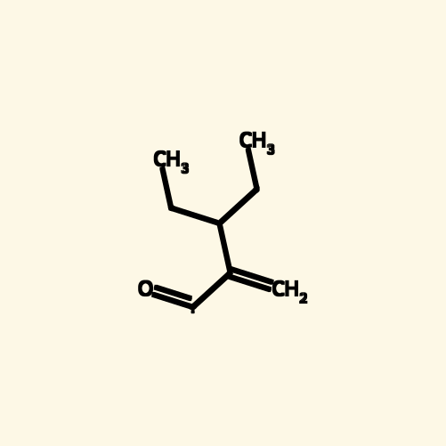 C=C([C]=O)C(CC)CC